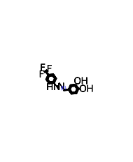 Oc1ccc(/C=N/Nc2ccc(C(F)(F)F)cc2)cc1O